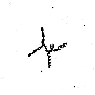 C#CC#CC#CP(C#CC#CC#C)CCC(=C=C=C=C=C)PC=C=C=C=C=C